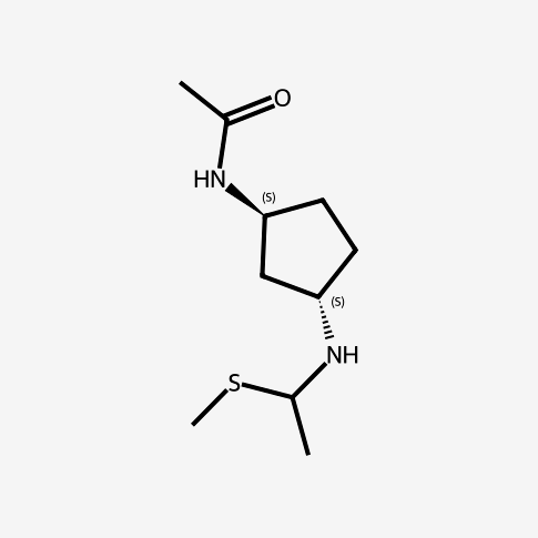 CSC(C)N[C@H]1CC[C@H](NC(C)=O)C1